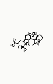 COC(=O)CCc1c(C(=O)OC)n(C)c2c(-c3c(C)nn4c3[C@H](N)CCC4)c(Cl)ccc12